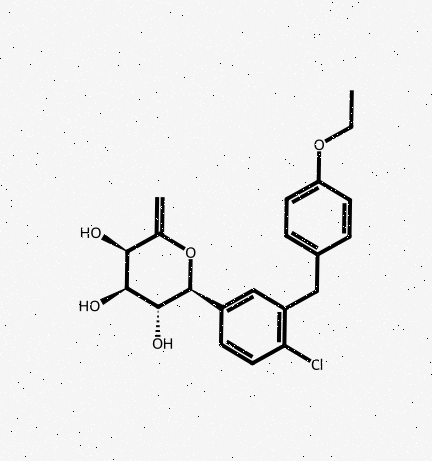 C=C1O[C@@H](c2ccc(Cl)c(Cc3ccc(OCC)cc3)c2)[C@H](O)[C@@H](O)[C@H]1O